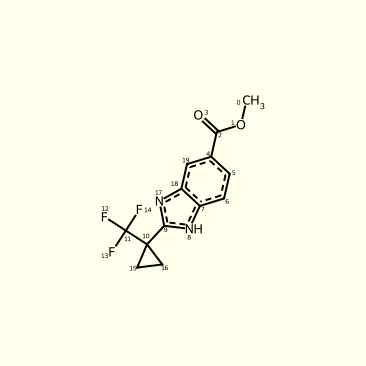 COC(=O)c1ccc2[nH]c(C3(C(F)(F)F)CC3)nc2c1